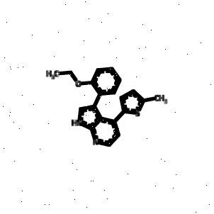 CCOc1ccccc1-c1c[nH]c2nccc(-c3ccc(C)s3)c12